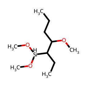 CCCC(OC)C(CC)[SiH](OC)OC